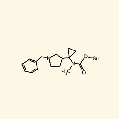 CN(C(=O)OC(C)(C)C)C1(C2CCN(Cc3ccccc3)C2)CC1